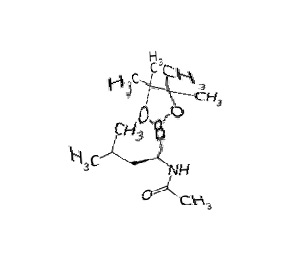 CC(=O)N[C@@H](CC(C)C)B1OC(C)(C)C(C)(C)O1